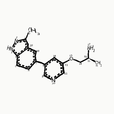 Cc1n[nH]c2ccc(-c3cncc(OC[C@H](C)N)c3)cc12